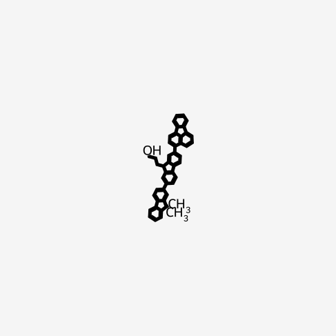 CC1(C)c2ccccc2-c2ccc(-c3ccc4c(c3)C(CCCO)c3cc(-c5ccc6c7c(cccc57)-c5ccccc5-6)ccc3-4)cc21